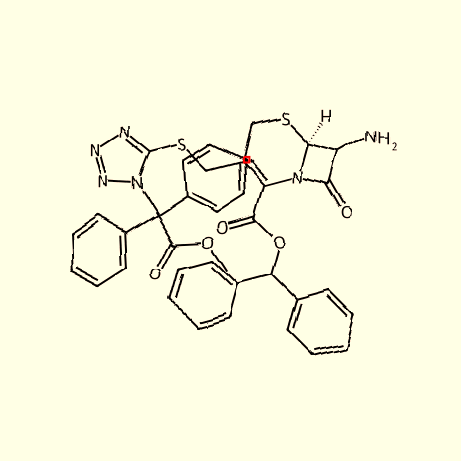 COC(=O)C(c1ccccc1)(c1ccccc1)n1nnnc1SCC1=C(C(=O)OC(c2ccccc2)c2ccccc2)N2C(=O)C(N)[C@@H]2SC1